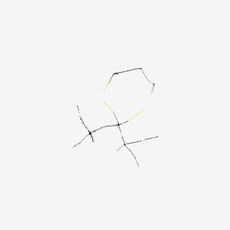 CC(C)(C)C1(C(C)(C)C)SCCCS1